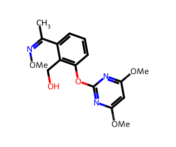 CO/N=C(/C)c1cccc(Oc2nc(OC)cc(OC)n2)c1CO